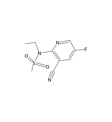 CCN(c1ncc(F)cc1C#N)S(C)(=O)=O